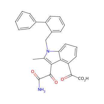 Cc1c(C(=O)C(N)=O)c2c(C(=O)C(=O)O)cccc2n1Cc1ccccc1-c1ccccc1